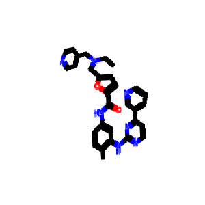 CCN(Cc1ccncc1)Cc1ccc(C(=O)Nc2ccc(C)c(Nc3nccc(-c4cccnc4)n3)c2)o1